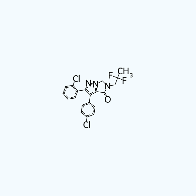 CC(F)(F)CN1Cn2nc(-c3ccccc3Cl)c(-c3ccc(Cl)cc3)c2C1=O